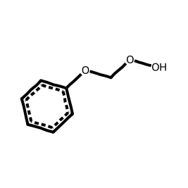 OOCOc1ccccc1